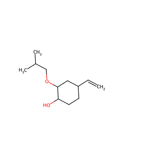 C=CC1CCC(O)C(OCC(C)C)C1